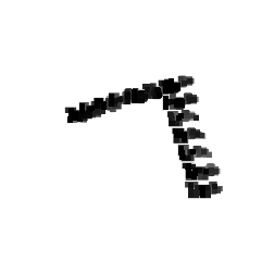 [Er+3].[Er+3].[Er+3].[Er+3].[Er+3].[Er+3].[Ho+3].[Ho+3].[Tb+3].[Tb+3].[Tm+3].[Tm+3].[Tm+3]